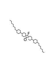 CCCCCCCC1CCC(C2CC[C@]3(CC2)C(=O)[C@@]2(CCC(C4CCC(CCCCCCC)CC4)CC2)[C@H]3F)CC1